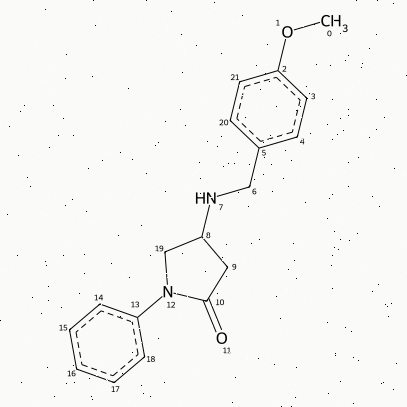 COc1ccc(CNC2CC(=O)N(c3ccccc3)C2)cc1